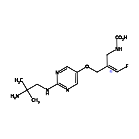 CC(C)(N)CNc1ncc(OC/C(=C/F)CNC(=O)O)cn1